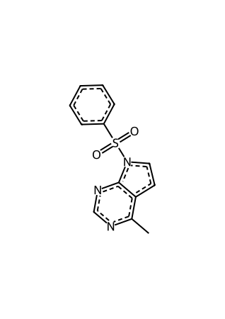 Cc1ncnc2c1ccn2S(=O)(=O)c1ccccc1